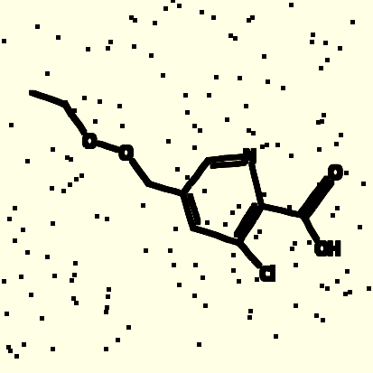 CCOOCc1cnc(C(=O)O)c(Cl)c1